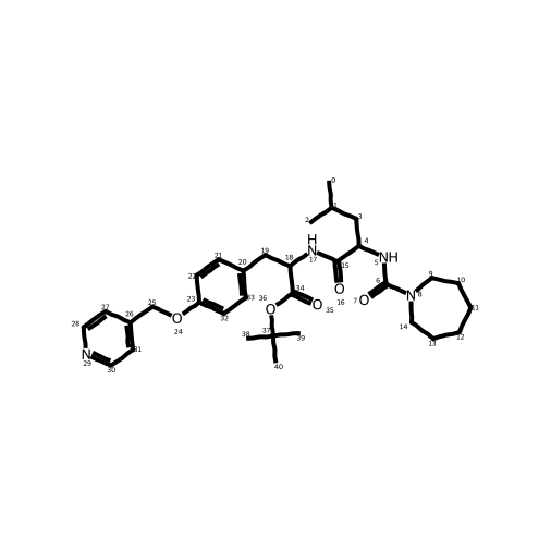 CC(C)CC(NC(=O)N1CCCCCC1)C(=O)NC(Cc1ccc(OCc2ccncc2)cc1)C(=O)OC(C)(C)C